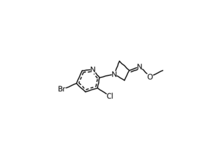 CON=C1CN(c2ncc(Br)cc2Cl)C1